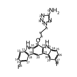 Nc1nnn(CCCOc2c3[nH]c4ccc(F)cc4c3cc3c2[nH]c2ccc(F)cc23)n1